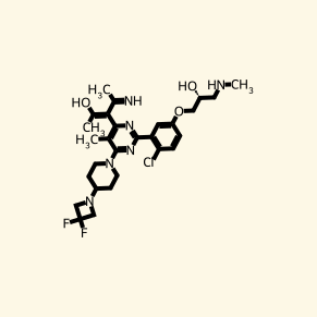 CNC[C@@H](O)COc1ccc(Cl)c(-c2nc(/C(C(C)=N)=C(\C)O)c(C)c(N3CCC(N4CC(F)(F)C4)CC3)n2)c1